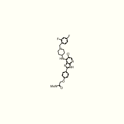 CNC(=O)COc1ccc(-c2nc3c(NC4CCN(Cc5ccc(F)cc5F)CC4)c(Cl)cnc3[nH]2)cc1